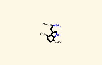 COc1ccc([N+](=O)[O-])c2c(CC(N)C(=O)O)c[nH]c12